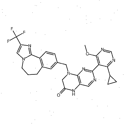 COc1ncnc(C2CC2)c1-c1ncc2c(n1)N(Cc1ccc3c(c1)CCCn1cc(C(F)(F)F)nc1-3)CC(=O)N2